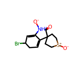 O=C1[NH+]([O-])C2=CC(Br)CC=C2C12CC[S+]([O-])CC2